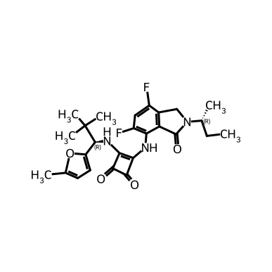 CC[C@@H](C)N1Cc2c(F)cc(F)c(Nc3c(N[C@@H](c4ccc(C)o4)C(C)(C)C)c(=O)c3=O)c2C1=O